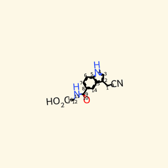 N#CCc1c[nH]c2ccc(C(=O)NCC(=O)O)cc12